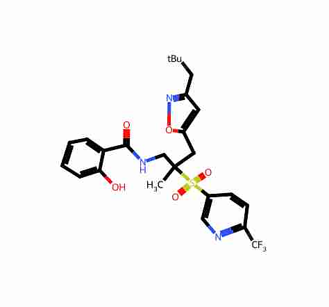 CC(C)(C)Cc1cc(CC(C)(CNC(=O)c2ccccc2O)S(=O)(=O)c2ccc(C(F)(F)F)nc2)on1